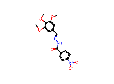 COc1cc(/C=N/NC(=O)c2ccc([N+](=O)[O-])cc2)cc(OC)c1OC